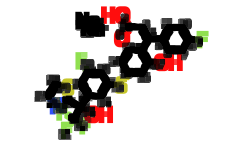 O=C(O)C=C(c1ccc(F)cc1)c1ccc(Sc2cc(F)cc(C(O)(c3nccs3)C(F)(F)F)c2)cc1O.[Na].[Na]